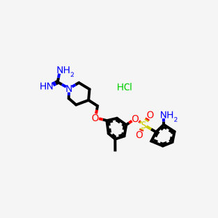 Cc1cc(OCC2CCN(C(=N)N)CC2)cc(OS(=O)(=O)c2ccccc2N)c1.Cl